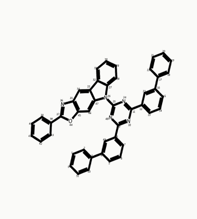 c1ccc(-c2cccc(-c3nc(-c4cccc(-c5ccccc5)c4)nc(-n4c5ccccc5c5cc6nc(-c7ccccc7)oc6cc54)n3)c2)cc1